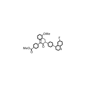 COC(=O)c1ccc(NC(=O)C(Cc2ccccc2OC)c2ccc(-c3ccnc4ccc(F)cc34)cc2)cc1